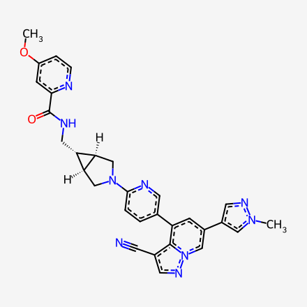 COc1ccnc(C(=O)NC[C@@H]2[C@H]3CN(c4ccc(-c5cc(-c6cnn(C)c6)cn6ncc(C#N)c56)cn4)C[C@@H]23)c1